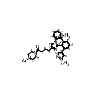 CC(=O)N1CCN(C(=O)CCCc2cn(-c3ccccc3)c(-c3c(C(N)=O)cccc3-c3cnn(C)c3)n2)CC1